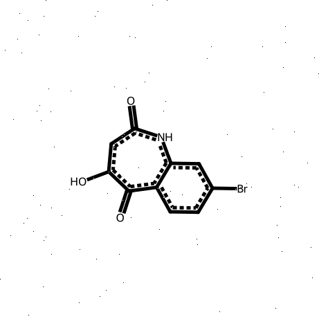 O=c1cc(O)c(=O)c2ccc(Br)cc2[nH]1